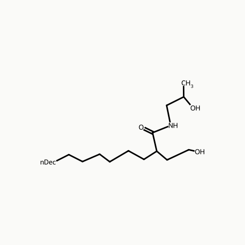 CCCCCCCCCCCCCCCCC(CCO)C(=O)NCC(C)O